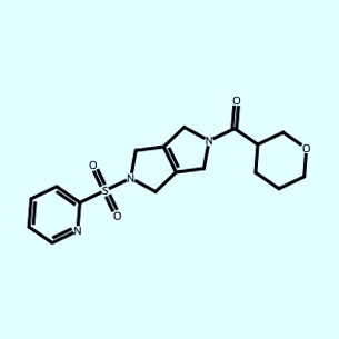 O=C(C1CCCOC1)N1CC2=C(C1)CN(S(=O)(=O)c1ccccn1)C2